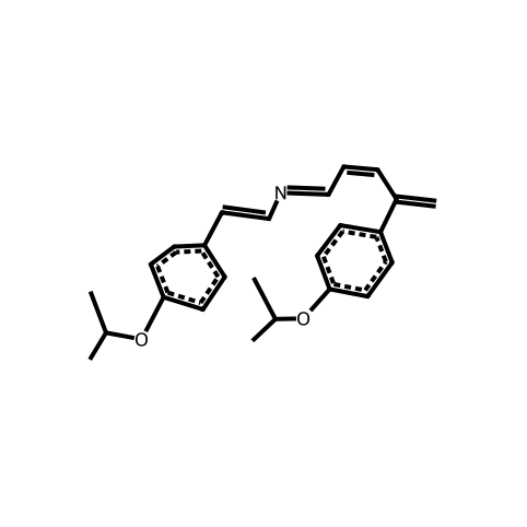 C=C(\C=C/C=N/C=C/c1ccc(OC(C)C)cc1)c1ccc(OC(C)C)cc1